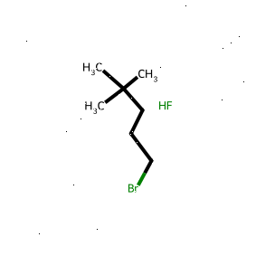 CC(C)(C)CCCBr.F